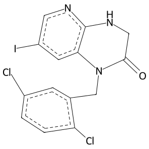 O=C1CNc2ncc(I)cc2N1Cc1cc(Cl)ccc1Cl